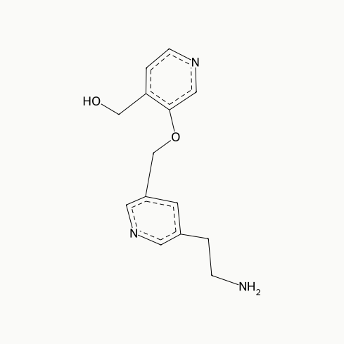 NCCc1cncc(COc2cnccc2CO)c1